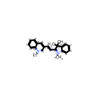 CC[n+]1cc(/C=C/C2=[N+](C)c3ccccc3C2(C)C)cc2ccccc21